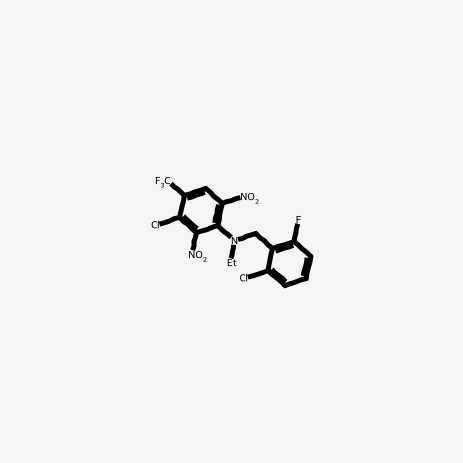 CCN(Cc1c(F)cccc1Cl)c1c([N+](=O)[O-])cc(C(F)(F)F)c(Cl)c1[N+](=O)[O-]